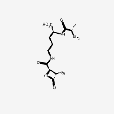 CC[C@H](C)[C@@H]1C(=O)O[C@H]1C(=O)NCCC[C@H](NC(=O)[C@H](C)N)C(=O)O